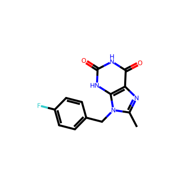 Cc1nc2c(=O)[nH]c(=O)[nH]c2n1Cc1ccc(F)cc1